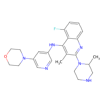 Cc1c(N2CCNCC2C)nc2cccc(F)c2c1Nc1cncc(N2CCOCC2)c1